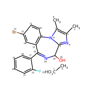 CC(=O)O.Cc1nc2n(c1C)-c1ccc(Br)cc1C(c1ccccc1F)=NC2O